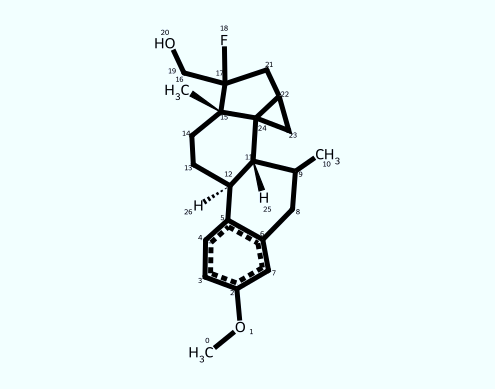 COc1ccc2c(c1)CC(C)[C@@H]1[C@@H]2CC[C@]2(C)C(F)(CO)CC3CC312